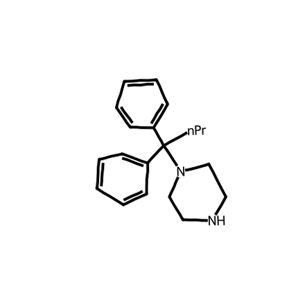 CCCC(c1ccccc1)(c1ccccc1)N1CCNCC1